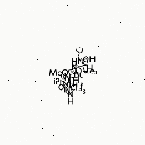 CC[C@H](C)[C@@H]([C@@H](CC(=O)N1CCCC1[C@H](OC)[C@@H](C)C(=O)NC(CO)Cc1ccccc1)OC)N(C)C(=O)C(NC(=O)N1CCNCC1(C)C)C(C)C